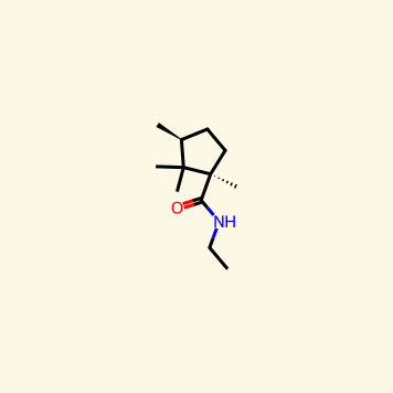 CCNC(=O)[C@]1(C)CC[C@H](C)C1(C)C